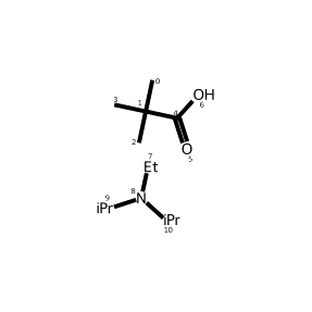 CC(C)(C)C(=O)O.CCN(C(C)C)C(C)C